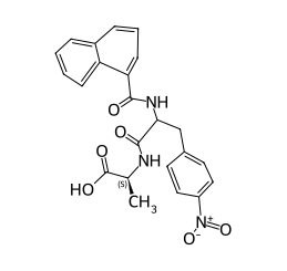 C[C@H](NC(=O)C(Cc1ccc([N+](=O)[O-])cc1)NC(=O)c1cccc2ccccc12)C(=O)O